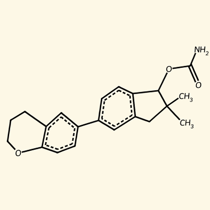 CC1(C)Cc2cc(-c3ccc4c(c3)CCCO4)ccc2C1OC(N)=O